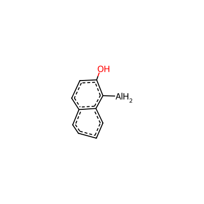 Oc1ccc2ccccc2[c]1[AlH2]